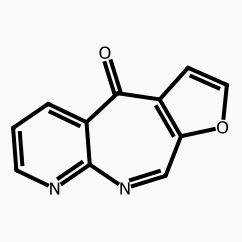 O=c1c2cccnc2ncc2occc12